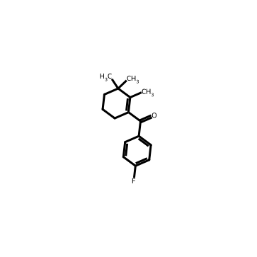 CC1=C(C(=O)c2ccc(F)cc2)CCCC1(C)C